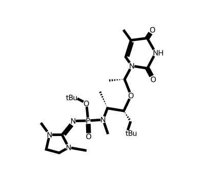 Cc1cn([C@@H](C)O[C@H](CC(C)(C)C)[C@@H](C)N(C)P(=O)(N=C2N(C)CCN2C)OC(C)(C)C)c(=O)[nH]c1=O